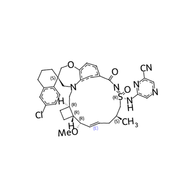 CO[C@H]1/C=C/C[C@H](C)C[S@@](=O)(Nc2cncc(C#N)n2)=NC(=O)c2ccc3c(c2)N(C[C@@H]2CC[C@H]21)C[C@@]1(CCCc2cc(Cl)ccc21)CO3